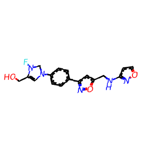 OCC1=CN(c2ccc(-c3cc(CNc4ccon4)on3)cc2)CN1F